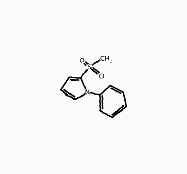 CS(=O)(=O)c1cccn1-c1ccccc1